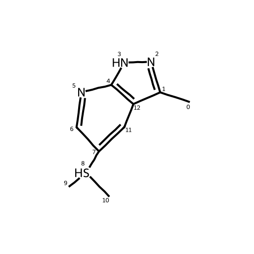 Cc1n[nH]c2ncc([SH](C)C)cc12